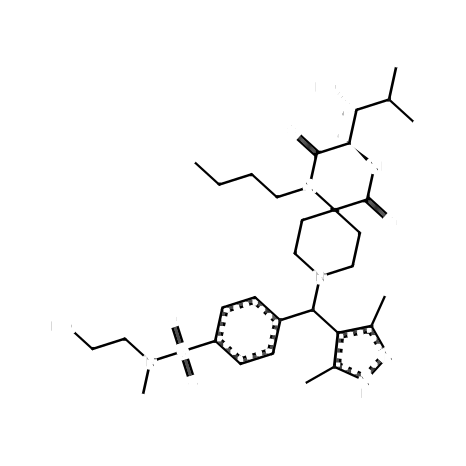 CCCCN1C(=O)[C@@H]([C@H](O)C(C)C)NC(=O)C12CCN(C(c1ccc(S(=O)(=O)N(C)CCO)cc1)c1c(C)n[nH]c1C)CC2